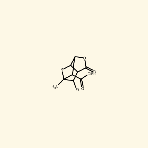 CCC1C2C(=O)OC3C2SC1(C)C3C(=O)OCC(C)C